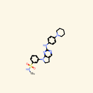 CC(C)(C)NS(=O)(=O)c1cccc(N2CCc3cnc(Nc4ccc(N5CCCCC5)cc4)nc32)c1